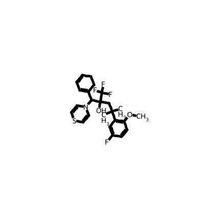 COc1ccc(F)cc1C(C)(C)CC(O)(C(C1=CC=CCC1)N1C=CSC=C1)C(F)(F)F